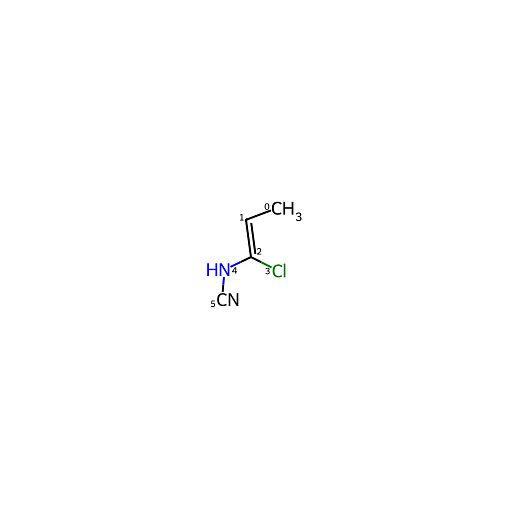 CC=C(Cl)NC#N